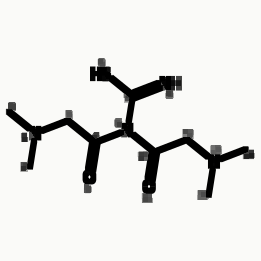 CN(C)CC(=O)N(C(=N)S)C(=O)CN(C)C